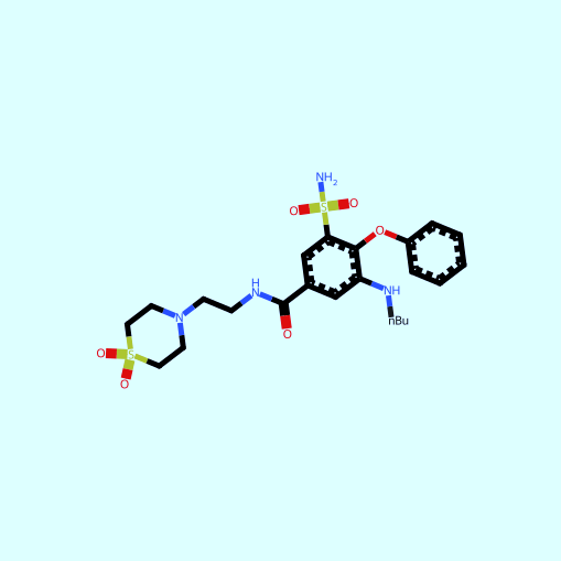 CCCCNc1cc(C(=O)NCCN2CCS(=O)(=O)CC2)cc(S(N)(=O)=O)c1Oc1ccccc1